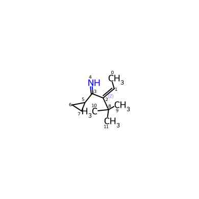 C/C=C(\C(=N)C1CC1)C(C)(C)C